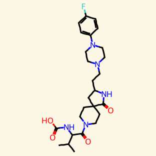 CC(C)C(NC(=O)O)C(=O)N1CCC2(CC1)CC(CCN1CCN(c3ccc(F)cc3)CC1)NC2=O